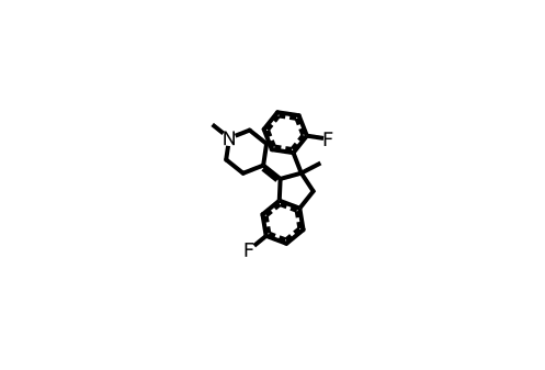 CN1CCC(=C2c3cc(F)ccc3CC2(C)c2ccccc2F)CC1